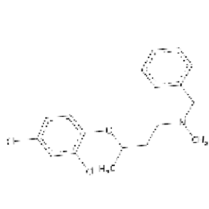 CC(CCN(C)Cc1ccccc1)Oc1ccc(Cl)cc1Cl